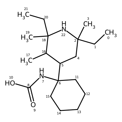 CCC1(C)CC(C2(NC(=O)O)CCCCC2)C(C)C(C)(CC)N1